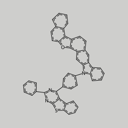 c1ccc(-c2nc(-c3ccc(-n4c5ccccc5c5cc6ccc7c(oc8ccc9ccccc9c87)c6cc54)cc3)c3c(n2)sc2ccccc23)cc1